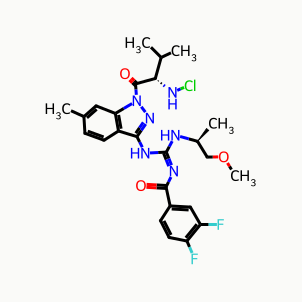 COC[C@H](C)N/C(=N/C(=O)c1ccc(F)c(F)c1)Nc1nn(C(=O)[C@@H](NCl)C(C)C)c2cc(C)ccc12